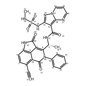 C#Cc1ccc2c3c(c([C@@H](C)NC(=O)c4c(NS(=O)(=O)NC)nn5cccnc45)n(-c4ccccc4)c(=O)c13)C(=O)N2